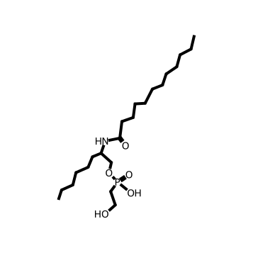 CCCCCCCCCCCC(=O)NC(CCCCCC)COP(=O)(O)CCO